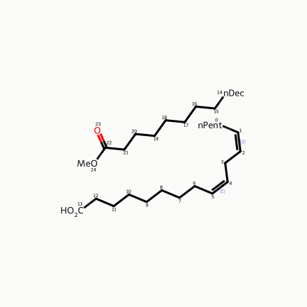 CCCCC/C=C\C/C=C\CCCCCCCC(=O)O.CCCCCCCCCCCCCCCCCC(=O)OC